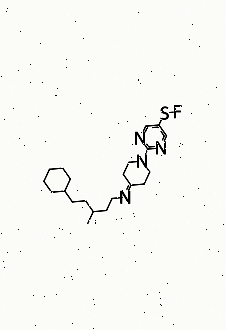 CC(CCN=C1CCN(c2ncc(SF)cn2)CC1)CCC1CCCCC1